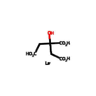 O=C(O)CC(O)(CC(=O)O)C(=O)O.[La]